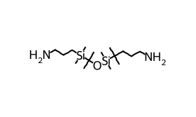 CC(C)(O[Si](C)(C)C(C)(C)CCCN)[Si](C)(C)CCCN